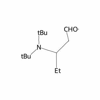 CCC(C[C]=O)N(C(C)(C)C)C(C)(C)C